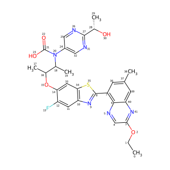 CCOc1cnc2c(-c3nc4cc(F)c(OC(C)C(C)N(C(=O)O)c5cnc([C@H](C)O)nc5)cc4s3)cc(C)cc2n1